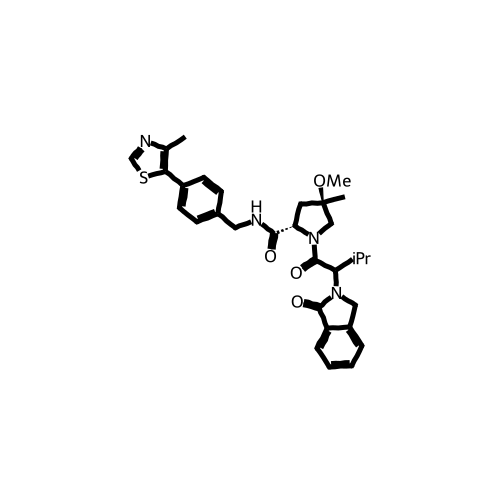 CO[C@]1(C)C[C@@H](C(=O)NCc2ccc(-c3scnc3C)cc2)N(C(=O)C(C(C)C)N2Cc3ccccc3C2=O)C1